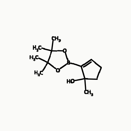 CC1(O)CCC=C1B1OC(C)(C)C(C)(C)O1